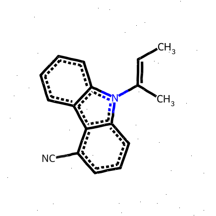 C/C=C(\C)n1c2ccccc2c2c(C#N)cccc21